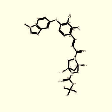 Cn1ccc2cc(Sc3ccc(C=CC(=O)N4C[C@@H]5C[C@H]4CN5C(=O)OC(C)(C)C)c(Cl)c3Cl)ccc21